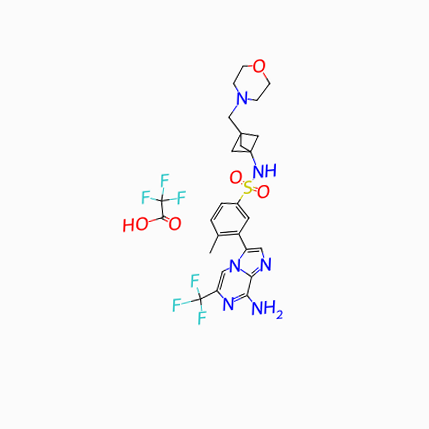 Cc1ccc(S(=O)(=O)NC23CC(CN4CCOCC4)(C2)C3)cc1-c1cnc2c(N)nc(C(F)(F)F)cn12.O=C(O)C(F)(F)F